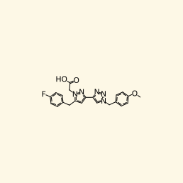 COc1ccc(Cn2cc(-c3cc(Cc4ccc(F)cc4)n(CC(=O)O)n3)nn2)cc1